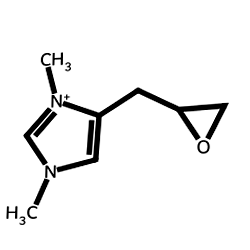 Cn1cc(CC2CO2)[n+](C)c1